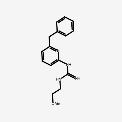 COCCNC(=N)Nc1cccc(Cc2ccccc2)n1